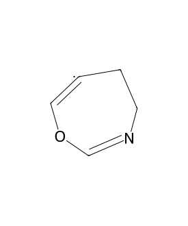 [C]1=COC=NCC1